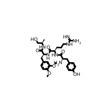 COc1ccc(C[C@H](NC(=O)[C@@H](CCCNC(=N)N)NC(=O)[C@@H](N)Cc2ccc(O)cc2)C(=O)N[C@H](C)CO)cc1OC